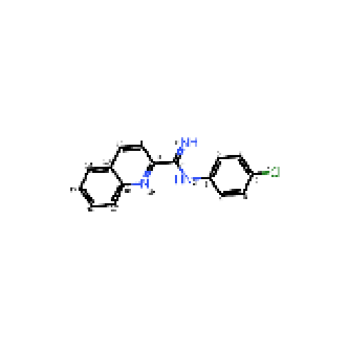 N=C(Nc1ccc(Cl)cc1)c1ccc2ccccc2n1